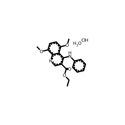 CCOC(=O)c1cnc2c(OC)ccc(OC)c2c1Nc1ccccc1.Cl.O